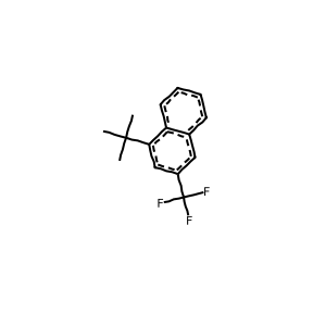 CC(C)(C)c1cc(C(F)(F)F)cc2ccccc12